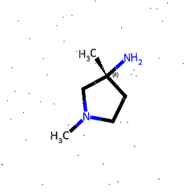 CN1CC[C@@](C)(N)C1